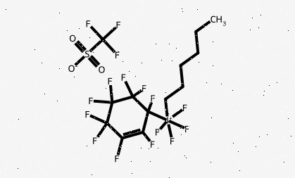 CCCCCC[I+](F)(F)(F)(F)C1(F)C(F)=C(F)C(F)(F)C(F)(F)C1(F)F.O=S(=O)([O-])C(F)(F)F